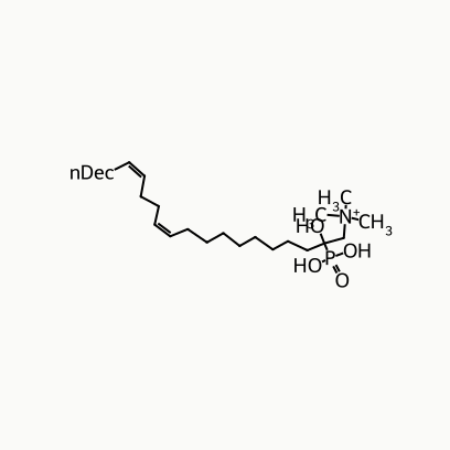 CCCCCCCCCC/C=C\CC/C=C\CCCCCCCCC(O)(C[N+](C)(C)C)P(=O)(O)O